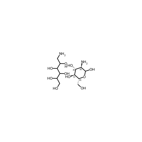 NCC(O)C(O)C(O)C(O)CO.N[C@H]1C(O)O[C@H](CO)[C@@H](O)[C@@H]1O